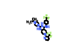 CC(C)N1CCN(C2NC3=C(CCN(c4ncccc4C(F)(F)F)C=C3)C(Nc3ccc(C(F)(F)F)cc3)N2)CC1